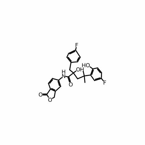 CC(C)(CC(O)(Cc1ccc(F)cc1)C(=O)Nc1ccc2c(c1)COC2=O)c1cc(F)ccc1O